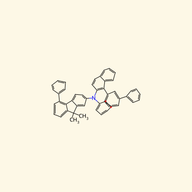 CC1(C)c2cc(N(c3ccccc3)c3ccc4ccccc4c3-c3cccc(-c4ccccc4)c3)ccc2-c2c(-c3ccccc3)cccc21